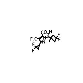 CC1(Cn2nc(C3CC3(F)F)c(C(F)(F)F)c2C(=O)O)CC(F)(F)C1